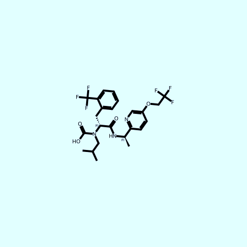 CC(C)CN(C(=O)O)[C@H](Cc1ccccc1C(F)(F)F)C(=O)N[C@H](C)c1ccc(OCC(F)(F)F)cn1